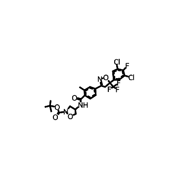 Cc1cc(C2=NOC(c3cc(Cl)c(F)c(Cl)c3)(C(F)(F)F)C2)ccc1C(=O)NC1CON(C(=O)OC(C)(C)C)C1